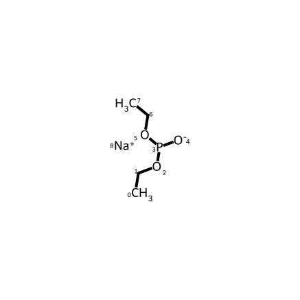 CCOP([O-])OCC.[Na+]